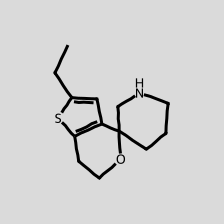 CCc1cc2c(s1)CCOC21CCCNC1